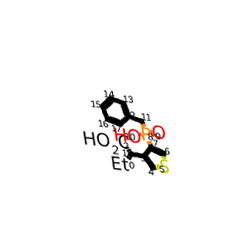 CCC(C(=O)O)c1cscc1P(=O)(O)Cc1ccccc1